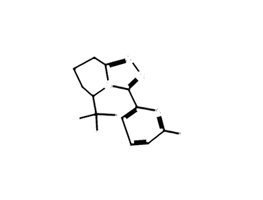 FC(F)(F)C1CCCc2nnc(-c3cccc(Br)n3)n21